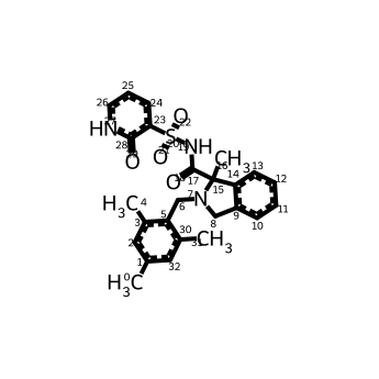 Cc1cc(C)c(CN2Cc3ccccc3C2(C)C(=O)NS(=O)(=O)c2ccc[nH]c2=O)c(C)c1